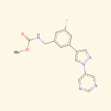 CC(C)(C)OC(=O)NCc1cc(F)cc(-c2cnn(-c3cncnc3)c2)c1